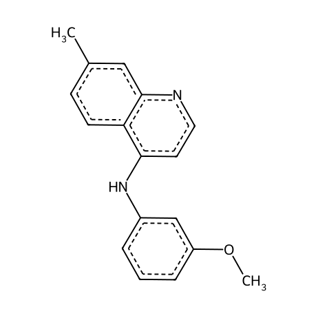 COc1cccc(Nc2ccnc3cc(C)ccc23)c1